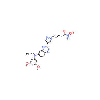 COc1cc(OC)cc(N(CC2CC2)c2ccc3ncc(-c4cnn(CCCCC(=O)NO)c4)nc3c2)c1